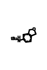 CC(C)(C)Nc1ccc2c(c1)COC2